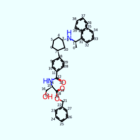 C[C@@H](N[C@H]1CCC[C@H](c2ccc(C(=O)N[C@H](CO)C(=O)OCc3ccccc3)cc2)C1)c1cccc2ccccc12